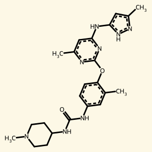 Cc1cc(Nc2cc(C)nc(Oc3ccc(NC(=O)NC4CCN(C)CC4)cc3C)n2)[nH]n1